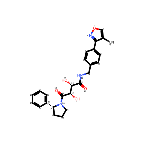 N#Cc1conc1-c1ccc(CNC(=O)[C@H](O)[C@@H](O)C(=O)N2CCC[C@@H]2c2ccccc2)cc1